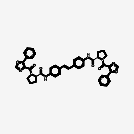 O=C(Nc1ccc(/C=C/c2ccc(NC(=O)[C@@H]3CCCN3C(=O)c3ncoc3-c3ccccc3)cc2)cc1)[C@@H]1CCCN1C(=O)c1ncoc1-c1ccccc1